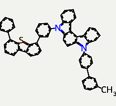 Cc1cccc(-c2ccc(-n3c4ccccc4c4c5c6ccccc6n(-c6cccc(-c7cccc8c7sc7c(-c9ccccc9)cccc78)c6)c5ccc43)cc2)c1